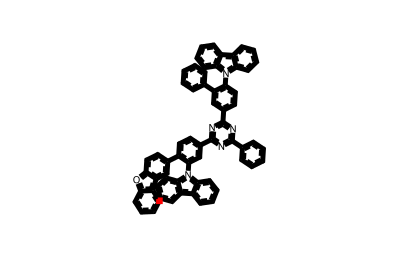 c1ccc(-c2nc(-c3ccc(-n4c5ccccc5c5ccccc54)c(-c4ccccc4)c3)nc(-c3ccc(-c4ccc5oc6ccccc6c5c4)c(-n4c5ccccc5c5ccccc54)c3)n2)cc1